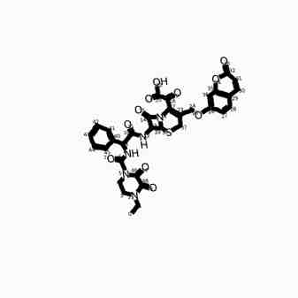 CCN1CCN(C(=O)NC(C(=O)NC2C(=O)N3C(C(=O)C(=O)O)=C(COc4ccc5ccc(=O)oc5c4)CSC23)c2ccccc2)C(=O)C1=O